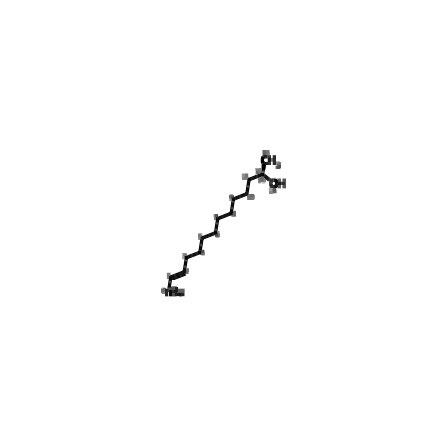 CCCCC=CCCCCCCCCC[C@@H](C)O